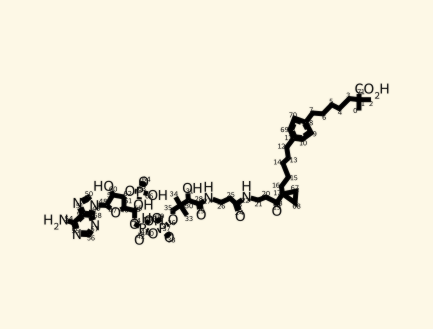 CC(C)(CCCCCc1ccc(CCCCCC2(C(=O)CCNC(=O)CCNC(=O)C(O)C(C)(C)COP(=O)(O)OP(=O)(O)OCC3OC(n4cnc5c(N)ncnc54)C(O)C3OP(=O)(O)O)CC2)cc1)C(=O)O